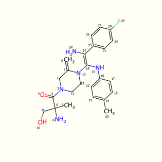 C=C1CN(C(=O)C(C)(N)CO)CCN1/C(Nc1ccc(C)cc1)=C(\N)c1ccc(F)cc1